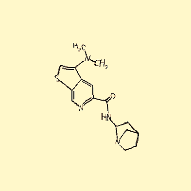 CN(C)c1csc2cnc(C(=O)NC3CC4CCN3C4)cc12